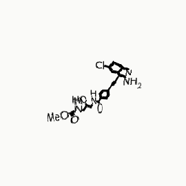 COC(=O)NCC(O)CNC(=O)c1ccc(C#Cc2c(N)ncc3ccc(Cl)cc23)cc1